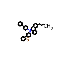 CCCCc1ccc2cc(N(c3ccc(-c4ccccc4)cc3)c3ccc4sc5ccccc5c4c3)c3ccccc3c2c1